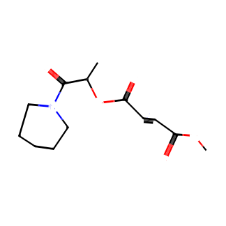 COC(=O)/C=C/C(=O)OC(C)C(=O)N1CCCCC1